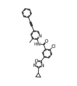 Cc1cc(C#Cc2ccccc2)cnc1NC(=O)c1cc(-c2nc(C3CC3)no2)ccc1Cl